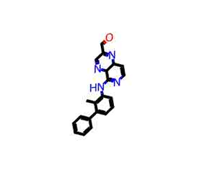 Cc1c(NC2=NC=CC3N=C(C=O)C=NC23)cccc1-c1ccccc1